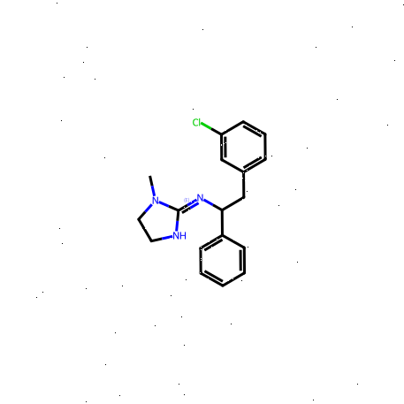 CN1CCN/C1=N\C(Cc1cccc(Cl)c1)c1ccccc1